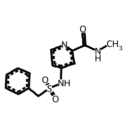 CNC(=O)c1cc(NS(=O)(=O)Cc2ccccc2)ccn1